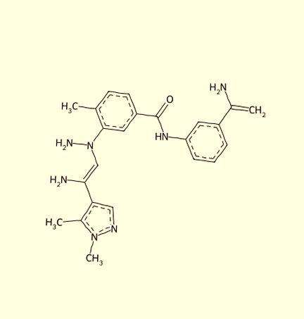 C=C(N)c1cccc(NC(=O)c2ccc(C)c(N(N)/C=C(\N)c3cnn(C)c3C)c2)c1